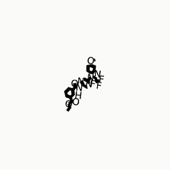 CCOC(=O)c1cccc(C(=O)Nc2cnc(-n3c(C(F)(F)F)nc4cc(OC)ccc43)cn2)c1